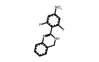 O=[N+]([O-])c1cc(F)c(C2=Nc3ccccc3CN2)c(F)c1